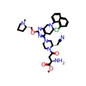 COC(=O)[C@H](N)CC(=O)N1CCN(c2nc(OC[C@@H]3CCCN3C)nc3c2CCN(c2cccc4cccc(Cl)c24)C3)C[C@@H]1CC#N